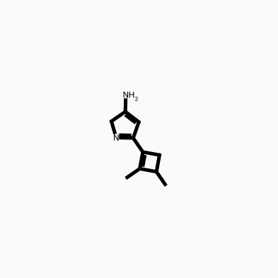 CC1=C(C2=NCC(N)=C2)CC1C